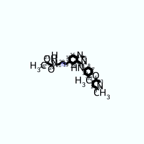 Cc1ccc(Oc2ccc(Nc3ncnc4ccc(/C=C/CNC(=O)C(C)O)cc34)cc2C)cn1